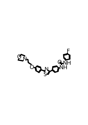 O=C(Nc1ccc(F)cc1)Nc1ccc(-c2csc(-c3ccc(OCCCN4CCOCC4)cc3)n2)cc1